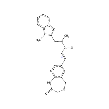 Cc1c(CN(C)C(=O)/C=C/c2cnc3c(c2)COCC(=O)N3)oc2ccccc12